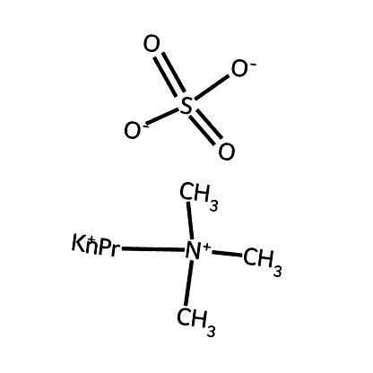 CCC[N+](C)(C)C.O=S(=O)([O-])[O-].[K+]